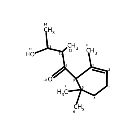 CC1=CCCC(C)(C)C1C(=O)C(C)C(C)O